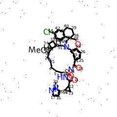 CO[C@H]1/C=C/CCC[S@@](=O)(NC(=O)C2C[C@@H]2c2ccnn2C)=NC(=O)c2ccc3c(c2)N(C[C@@H]2CC[C@H]21)C[C@@]1(CCCc2cc(Cl)ccc21)CO3